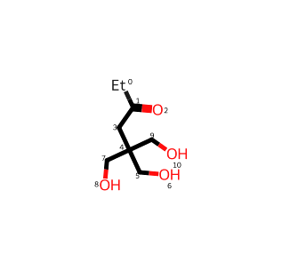 CCC(=O)CC(CO)(CO)CO